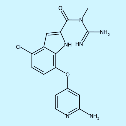 CN(C(=N)N)C(=O)c1cc2c(Cl)ccc(Oc3ccnc(N)c3)c2[nH]1